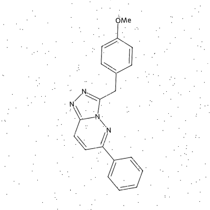 COc1ccc(Cc2nnc3ccc(-c4ccccc4)nn23)cc1